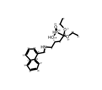 CCOC(CCCNCc1cccc2ccccc12)(OCC)[PH](=O)O